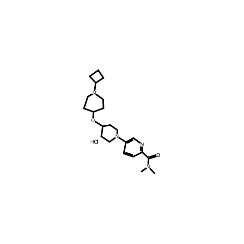 CN(C)C(=O)c1ccc(N2CCC(OC3CCN(C4CCC4)CC3)CC2)cn1.Cl